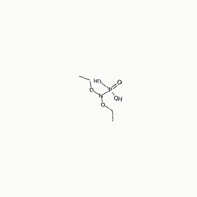 CCON(OCC)P(=O)(O)O